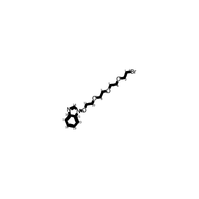 BrCCOCCOCCOCCOn1cnc2ccccc21